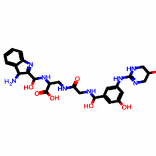 NC1C(C(O)NC(CNC(=O)CNC(O)c2cc(O)cc(NC3=NCC(O)CN3)c2)C(=O)O)=Nc2ccccc21